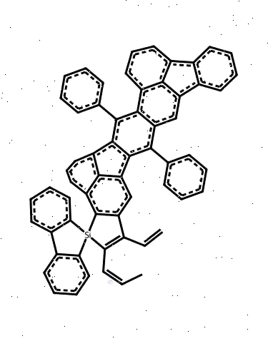 C=CC1=C(/C=C\C)[Si]2(c3ccccc3-c3ccccc32)c2c1cc1c3c(-c4ccccc4)c4cc5c6ccccc6c6cccc(c4c(-c4ccccc4)c3c3cccc2c13)c65